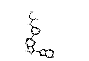 CC(C)(C)CC(O)Nc1cncc(-c2cnc3[nH]nc(-c4cc5cnccc5[nH]4)c3c2)c1